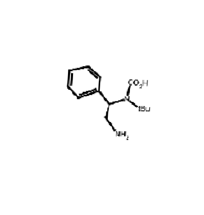 CC(C)(C)N(C(=O)O)[C@@H](CN)c1ccccc1